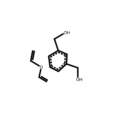 C=COC=C.OCc1cccc(CO)c1